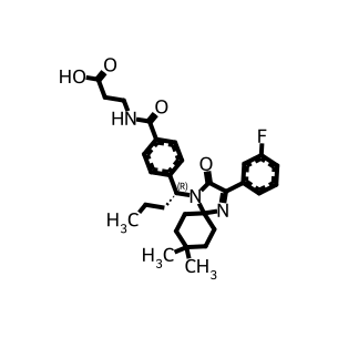 CCC[C@H](c1ccc(C(=O)NCCC(=O)O)cc1)N1C(=O)C(c2cccc(F)c2)=NC12CCC(C)(C)CC2